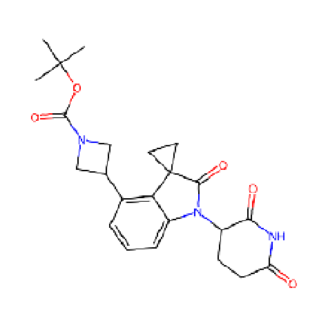 CC(C)(C)OC(=O)N1CC(c2cccc3c2C2(CC2)C(=O)N3C2CCC(=O)NC2=O)C1